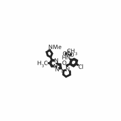 CN[C@H]1CCC(c2nc3cc([C@@H]4CCCCN4C(=O)c4cc(Cl)ccc4NS(C)(=O)=O)nn3cc2C)C1